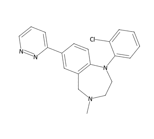 CN1CCN(c2ccccc2Cl)c2ccc(-c3cccnn3)cc2C1